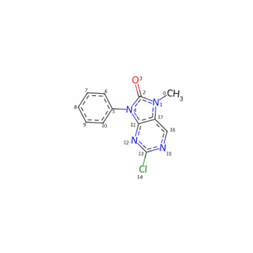 Cn1c(=O)n(-c2ccccc2)c2nc(Cl)ncc21